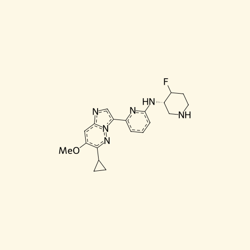 COc1cc2ncc(-c3cccc(N[C@H]4CNCCC4F)n3)n2nc1C1CC1